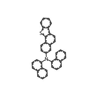 c1ccc2c(N(c3ccc4c(ccc5c6ccccc6sc45)c3)c3cccc4ccccc34)cccc2c1